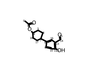 CC(=O)OC1CCC(c2ccc(O)c(C=O)c2)CC1